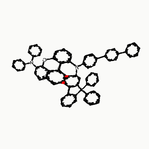 c1ccc(-c2ccc(-c3ccc(N(c4ccc5c(c4)C(c4ccccc4)(c4ccccc4)c4ccccc4-5)c4cccc5c4-c4cccc6ccc(N(c7ccccc7)c7ccccc7)c(c46)O5)cc3)cc2)cc1